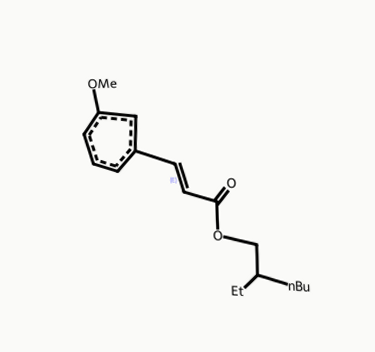 CCCCC(CC)COC(=O)/C=C/c1cccc(OC)c1